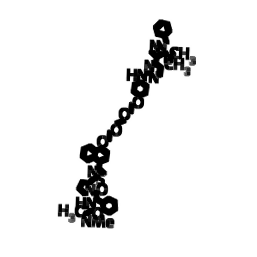 CNC(C)C(=O)N[C@H](C(=O)N1CCCC1c1nc(-c2ccc(OCCOCCOCCOC3CCC(Nc4nccc(-c5cnn(Cc6ccccc6)c5N(C)C)n4)CC3)c3ccccc23)cs1)C1CCCCC1